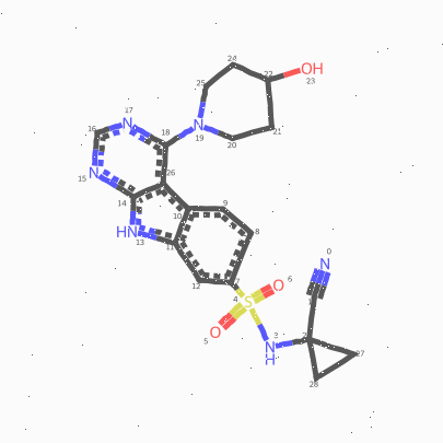 N#CC1(NS(=O)(=O)c2ccc3c(c2)[nH]c2ncnc(N4CCC(O)CC4)c23)CC1